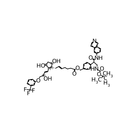 CC(C)(C)OC(=O)NCC(C(=O)Nc1ccc2cnccc2c1)c1ccc(COC(=O)CCCC=CC[C@@H]2[C@@H](C=C[C@@H](O)COc3cccc(C(F)(F)F)c3)[C@H](O)C[C@@H]2O)cc1